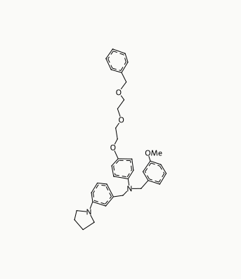 COc1cccc(CN(Cc2cccc(N3CCCC3)c2)c2ccc(OCCOCCOCc3ccccc3)cc2)c1